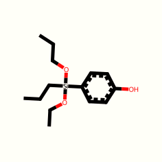 CCCO[Si](CCC)(OCC)c1ccc(O)cc1